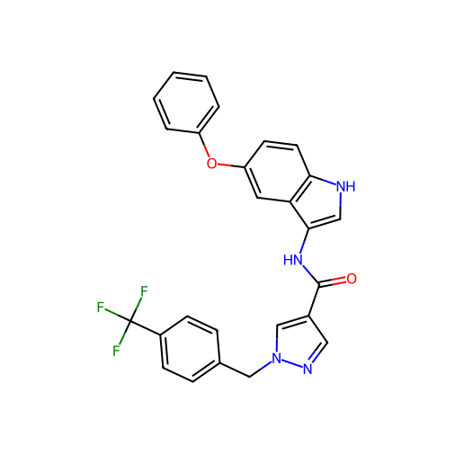 O=C(Nc1c[nH]c2ccc(Oc3ccccc3)cc12)c1cnn(Cc2ccc(C(F)(F)F)cc2)c1